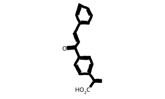 C=C(C(=O)O)c1ccc(C(=O)C=Cc2ccccc2)cc1